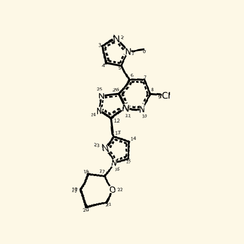 Cn1nccc1-c1cc(Cl)nn2c(-c3ccn(C4CCCCO4)n3)nnc12